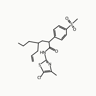 C=CCC(CCC)CC(C(=O)Nc1nc(C)c(Cl)s1)c1ccc(S(C)(=O)=O)cc1